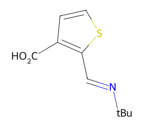 CC(C)(C)/N=C/c1sccc1C(=O)O